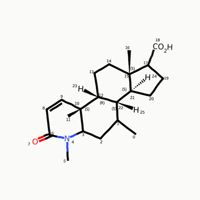 CC1CC2N(C)C(=O)C=C[C@]2(C)[C@@H]2CC[C@]3(C)C(C(=O)O)CC[C@H]3[C@H]12